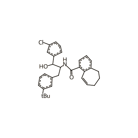 CC(C)(C)c1cccc(CC(NC(=O)c2cccc3c2C=CCCC3)C(O)c2cccc(Cl)c2)c1